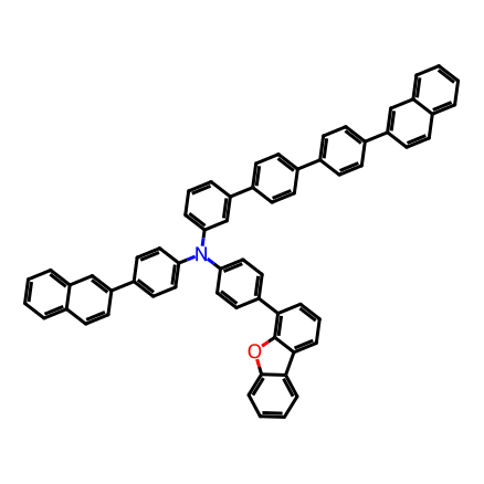 c1cc(-c2ccc(-c3ccc(-c4ccc5ccccc5c4)cc3)cc2)cc(N(c2ccc(-c3ccc4ccccc4c3)cc2)c2ccc(-c3cccc4c3oc3ccccc34)cc2)c1